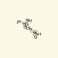 CC(C)CCN1C(=O)C(CC(=O)N2CCC(N3Cc4ccccc4NC3=O)CC2)SC1CC(C)(C)C